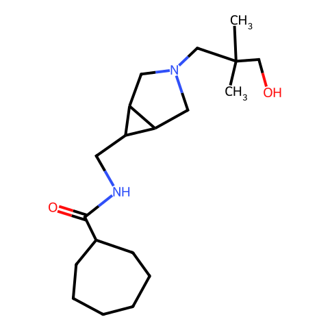 CC(C)(CO)CN1CC2C(CNC(=O)C3CCCCCC3)C2C1